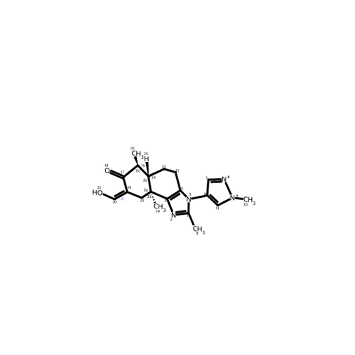 Cc1nc2c(n1-c1cnn(C)c1)CC[C@H]1[C@H](C)C(=O)/C(=C\O)C[C@]21C